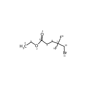 CCOC(=O)CCC(F)(F)CBr